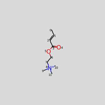 CC=CC(=O)OCC[N+](C)(C)C